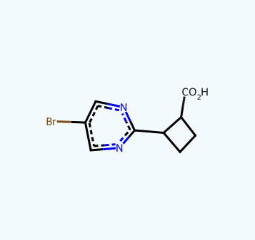 O=C(O)C1CCC1c1ncc(Br)cn1